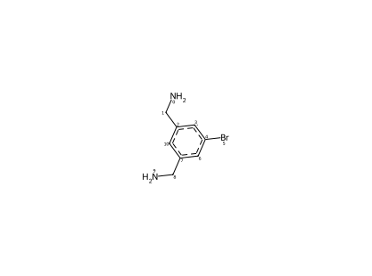 NCc1[c]c(Br)cc(CN)c1